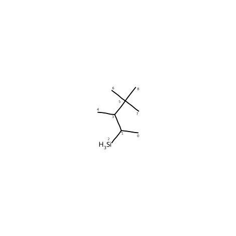 C[C]([SiH3])C(C)C(C)(C)C